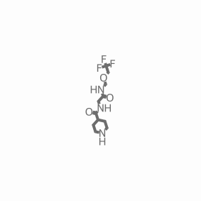 O=C(CNC(=O)C1CCNCC1)NCOCC(F)(F)F